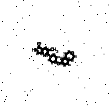 Cc1cc2c(nc1N1CCC(Oc3ccc4c(c3)CCOCC4)CC1)CNC2=O